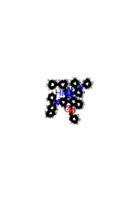 Cc1cc(-n2c3ccccc3c3cc4ccccc4cc32)cc(C2=NC(c3cccc4c3c3ccccc3n4-c3ccccc3)=NC(c3cccc(-c4ccccc4)c3)N2)c1-c1ccc2ccccc2c1C(=O)OCc1ccccc1